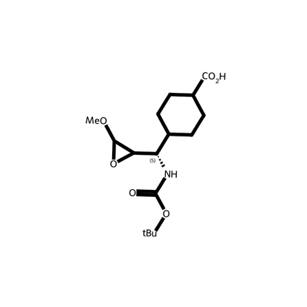 COC1OC1[C@@H](NC(=O)OC(C)(C)C)C1CCC(C(=O)O)CC1